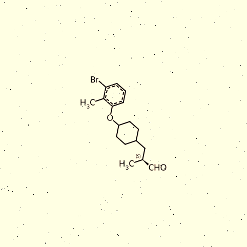 Cc1c(Br)cccc1OC1CCC(C[C@H](C)C=O)CC1